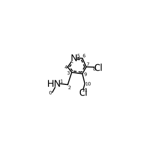 CNCc1cncc(Cl)c1CCl